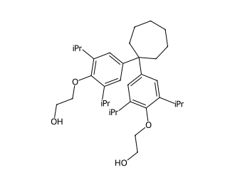 CC(C)c1cc(C2(c3cc(C(C)C)c(OCCO)c(C(C)C)c3)CCCCCC2)cc(C(C)C)c1OCCO